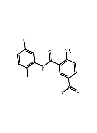 Cc1ccc(Cl)cc1NC(=O)c1cc([N+](=O)[O-])ccc1N